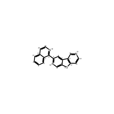 c1ccc2c(-c3cc4c(cn3)sc3ccncc34)nccc2c1